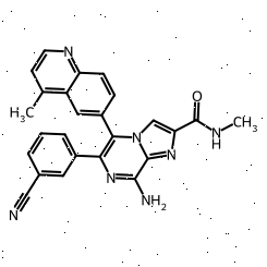 CNC(=O)c1cn2c(-c3ccc4nccc(C)c4c3)c(-c3cccc(C#N)c3)nc(N)c2n1